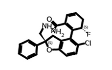 NC[C@@]1(c2ccccc2)Cc2c(ccc(Cl)c2C2=C(C(N)=O)C=CC[C@@H]2F)O1